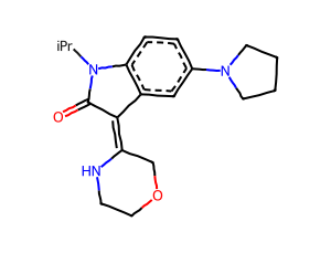 CC(C)N1C(=O)/C(=C2/COCCN2)c2cc(N3CCCC3)ccc21